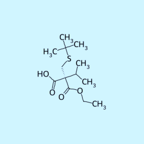 CCOC(=O)[C@@](CSC(C)(C)C)(C(=O)O)C(C)C